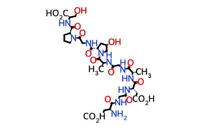 C[C@H](NC(=O)[C@H](CC(=O)O)NC(=O)CNC(=O)[C@@H](N)CC(=O)O)C(=O)NCC(=O)N[C@@H](C)C(=O)N1C[C@H](O)C[C@H]1C(=O)NCC(=O)N1CCC[C@H]1C(=O)N[C@@H](CO)C(=O)O